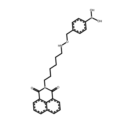 O=C1c2cccc3cccc(c23)C(=O)N1CCCCCCNOCc1ccc(B(O)O)cc1